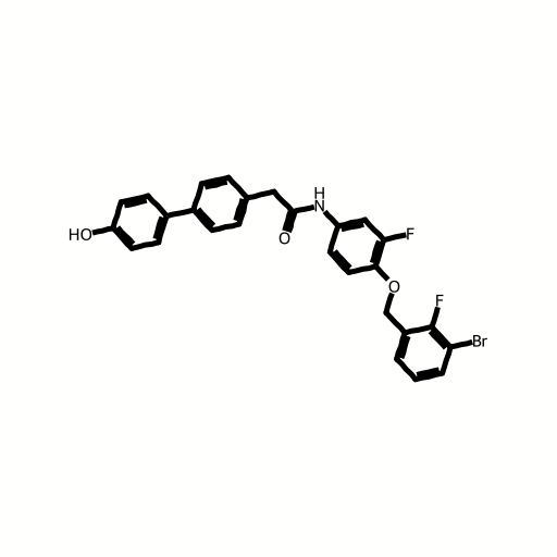 O=C(Cc1ccc(-c2ccc(O)cc2)cc1)Nc1ccc(OCc2cccc(Br)c2F)c(F)c1